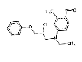 CCN(CC(Cl)COc1ccccc1)c1ccc(C=O)c(C)c1